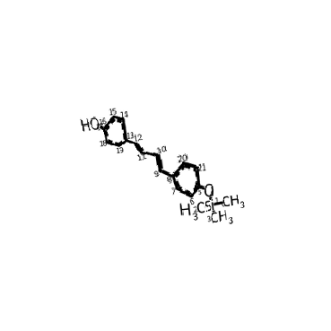 C[Si](C)(C)Oc1ccc(C=CC=Cc2ccc(O)cc2)cc1